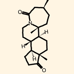 C[C@H]1CC[C@]2(C)[C@H]3CC[C@]4(C)C(=O)CC[C@H]4[C@@H]3CCN2C(=O)C1